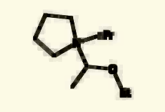 CCC[N+]1(C(C)OCC)CCCC1